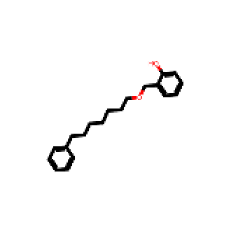 Oc1ccccc1COCCCCCCCc1ccccc1